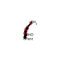 C=CC(=O)OCCCCCCOc1ccc(OC(=O)C2CCC(C(=O)Oc3ccc(C4CCC(CCCCC)CC4)cc3C=O)CC2)cc1